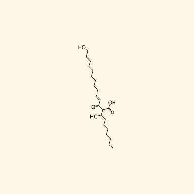 CCCCCCCC(O)C(C(=O)O)C(=O)C=CCCCCCCCCCO